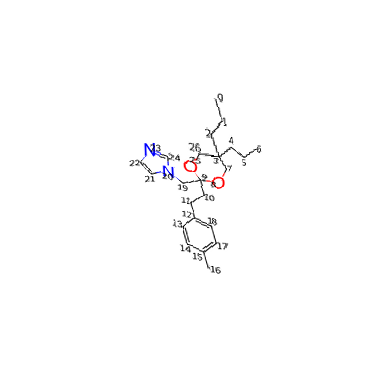 CCCC1(CCC)COC(CCc2ccc(C)cc2)(Cn2ccnc2)OC1